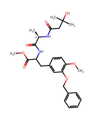 COC(=O)C(Cc1ccc(OC)c(OCc2ccccc2)c1)NC(=O)[C@@H](C)NC(=O)CC(C)(C)O